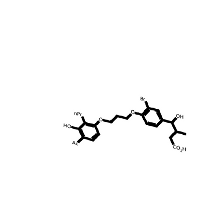 CCCc1c(OCCCOc2ccc(C(O)C(C)CC(=O)O)cc2Br)ccc(C(C)=O)c1O